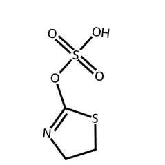 O=S(=O)(O)OC1=NCCS1